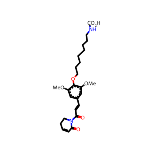 COc1cc(C=CC(=O)N2CCC=CC2=O)cc(OC)c1OCCCCCCCCNC(=O)O